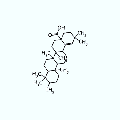 CC1CCC2(C)C(CCC3(C)C2CCC2C4=CC(C)(C)CCC4(C(=O)O)CCC23C)C1(C)C